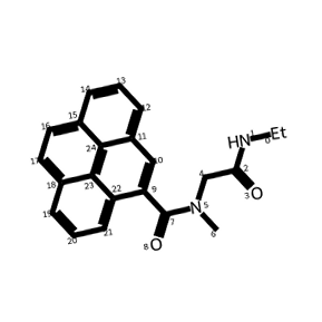 CCNC(=O)CN(C)C(=O)c1cc2cccc3ccc4cccc1c4c32